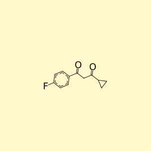 O=C(CC(=O)C1CC1)c1ccc(F)cc1